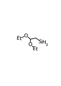 CCOC(C[SiH3])OCC